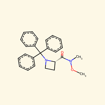 CON(C)C(=O)[C@@H]1CCN1C(c1ccccc1)(c1ccccc1)c1ccccc1